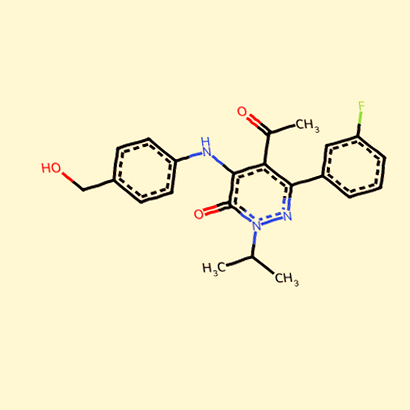 CC(=O)c1c(-c2cccc(F)c2)nn(C(C)C)c(=O)c1Nc1ccc(CO)cc1